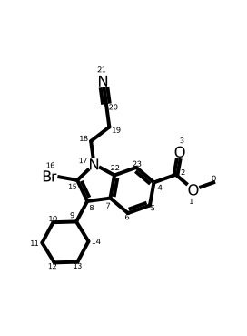 COC(=O)c1ccc2c(C3CCCCC3)c(Br)n(CCC#N)c2c1